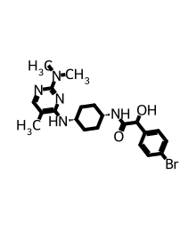 Cc1cnc(N(C)C)nc1N[C@H]1CC[C@@H](NC(=O)C(O)c2ccc(Br)cc2)CC1